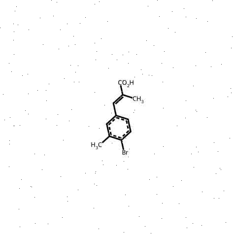 CC(=Cc1ccc(Br)c(C)c1)C(=O)O